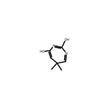 CC1(C)C=NC(O)=NC(O)=C1